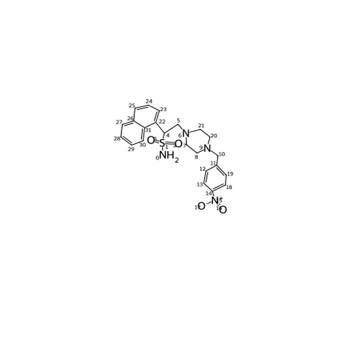 NS(=O)(=O)C(CN1CCN(Cc2ccc([N+](=O)[O-])cc2)CC1)c1cccc2ccccc12